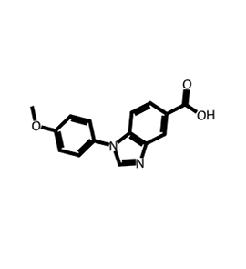 COc1ccc(-n2cnc3cc(C(=O)O)ccc32)cc1